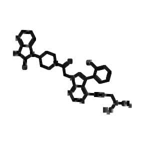 CN(C)CC#Cc1ncnc2c1c(-c1ccccc1Cl)cn2CC(=O)N1CCC(n2c(=O)[nH]c3ncccc32)CC1